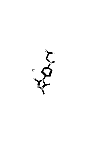 Cc1n(-c2ccc(N(C)CC(=O)[O-])cc2)c([S-])n[n+]1C.[K+]